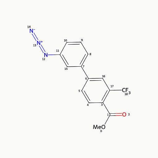 COC(=O)c1ccc(-c2cccc(N=[N+]=[N-])c2)cc1C(F)(F)F